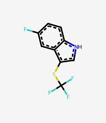 Fc1ccc2[nH]cc(SC(F)(F)F)c2c1